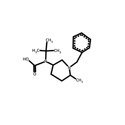 CC1CCC(N(C(=O)O)C(C)(C)C)CN1Cc1ccccc1